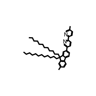 CCCCCCCCCCCCC1(CCCCCCCCCCCC)c2cc(C)ccc2-c2ccc(-c3ccc(-c4ccc(C)cn4)nc3)cc21